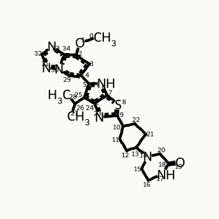 COc1cc(-c2[nH]c3sc(C4CCC(N5CCNC(=O)C5)CC4)nc3c2C(C)C)cn2ncnc12